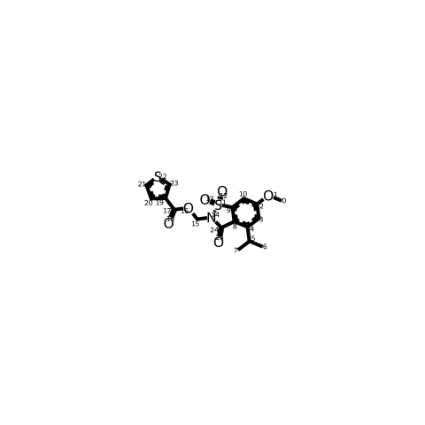 COc1cc(C(C)C)c2c(c1)S(=O)(=O)N(COC(=O)c1ccsc1)C2=O